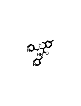 Cc1ccc(C(NCc2cccnc2)C(=O)NCc2ccncc2)c(C)c1